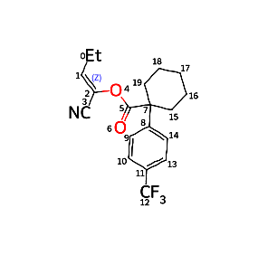 CC/C=C(/C#N)OC(=O)C1(c2ccc(C(F)(F)F)cc2)CCCCC1